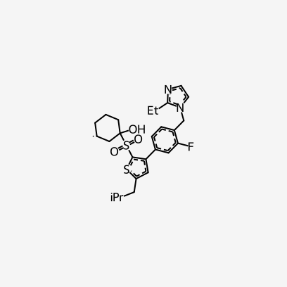 CCc1nccn1Cc1ccc(-c2cc(CC(C)C)sc2S(=O)(=O)C2(O)C[CH]CCC2)cc1F